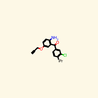 C#CCOc1ccc(N)c(C(=O)c2ccc(C(C)C)c(Cl)c2)c1